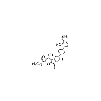 COc1cc(C(O)=C2C(=O)Nc3cc(F)c(-c4ccc(-c5cccc(OC)c5O)cc4)cc32)on1